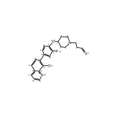 O=CCCN1CCC(Oc2ccc(-c3ccc4cccnc4c3Cl)cc2F)CC1